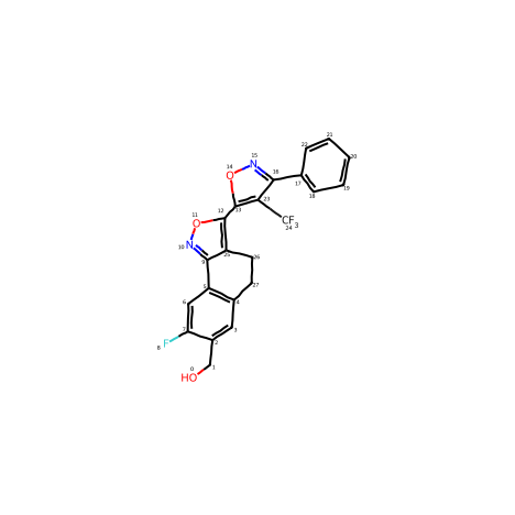 OCc1cc2c(cc1F)-c1noc(-c3onc(-c4ccccc4)c3C(F)(F)F)c1CC2